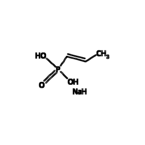 CC=CP(=O)(O)O.[NaH]